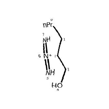 CCCCCCO.N=[N+]=N